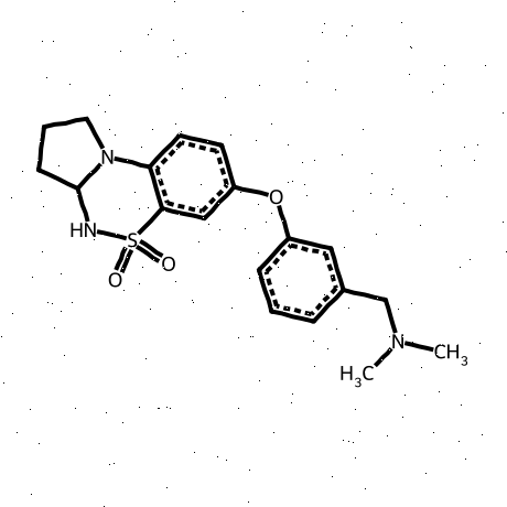 CN(C)Cc1cccc(Oc2ccc3c(c2)S(=O)(=O)NC2CCCN32)c1